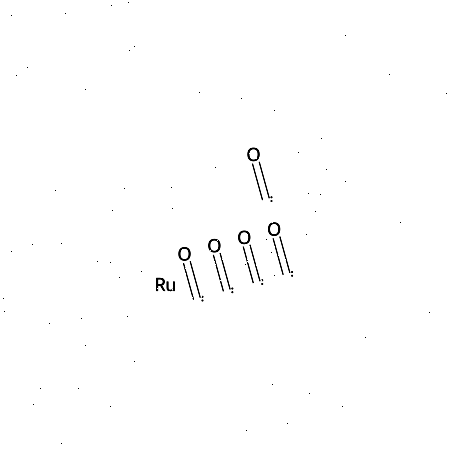 [C]=O.[C]=O.[C]=O.[C]=O.[C]=O.[Ru]